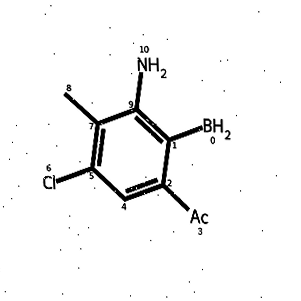 Bc1c(C(C)=O)cc(Cl)c(C)c1N